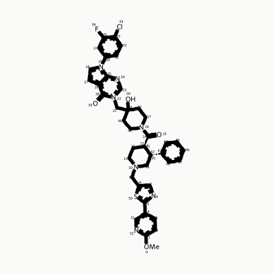 COc1ccc(-c2ncc(CN3CC[C@@H](C(=O)N4CCC(O)(Cn5cnc6c(ccn6-c6ccc(Cl)c(F)c6)c5=O)CC4)[C@H](c4ccccc4)C3)s2)cn1